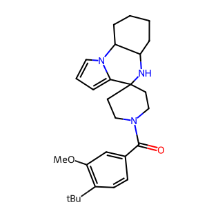 COc1cc(C(=O)N2CCC3(CC2)NC2CCCCC2n2cccc23)ccc1C(C)(C)C